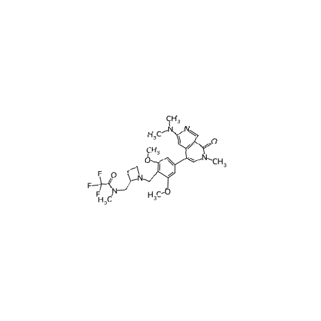 COc1cc(-c2cn(C)c(=O)c3cnc(N(C)C)cc23)cc(OC)c1CN1CCC1CN(C)C(=O)C(F)(F)F